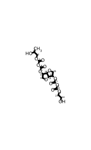 CC(O)COC(=O)OC(=O)OC1COC2C(OC(=O)OC(=O)OCCO)COC12